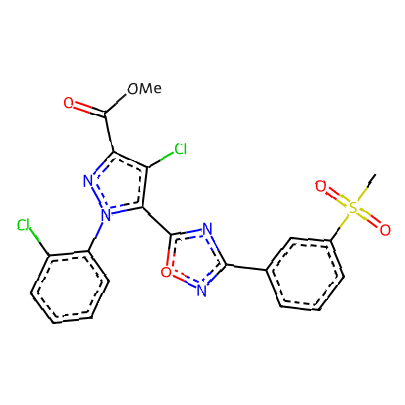 COC(=O)c1nn(-c2ccccc2Cl)c(-c2nc(-c3cccc(S(C)(=O)=O)c3)no2)c1Cl